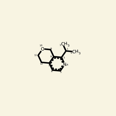 CC(C)c1nccc2c1COCC2